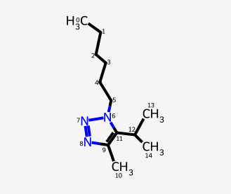 CCCCCCn1nnc(C)c1C(C)C